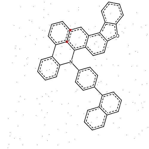 c1ccc(-c2ccccc2N(c2ccc(-c3cccc4ccccc34)cc2)c2cccc3c2ccc2oc4ccccc4c23)cc1